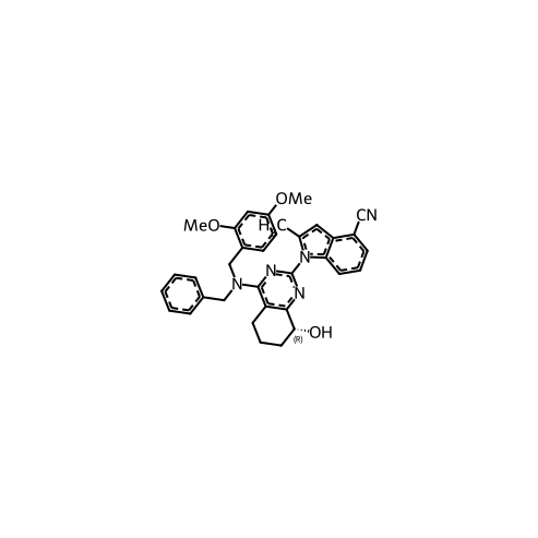 COc1ccc(CN(Cc2ccccc2)c2nc(-n3c(C)cc4c(C#N)cccc43)nc3c2CCC[C@H]3O)c(OC)c1